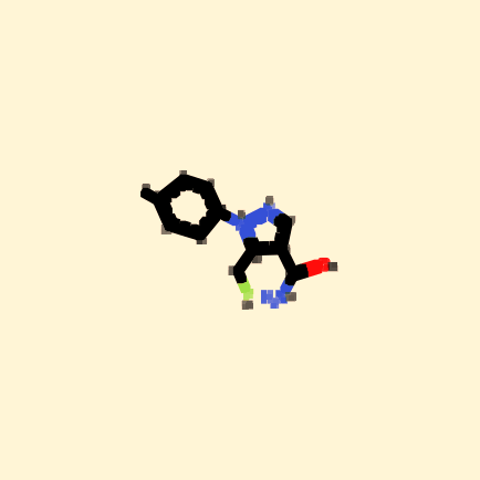 Cc1ccc(-n2ncc(C(N)=O)c2CF)cc1